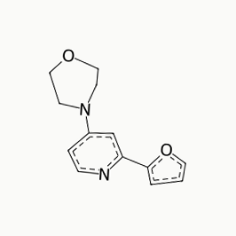 c1coc(-c2cc(N3CCOCC3)ccn2)c1